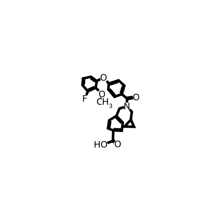 COc1c(F)cccc1Oc1ccc(C(=O)N(Cc2ccc(C(=O)O)cc2)CC2CC2)cc1